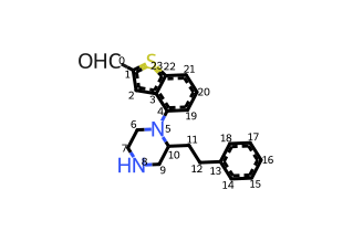 O=Cc1cc2c(N3CCNCC3CCc3ccccc3)cccc2s1